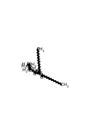 CCCCCCCCCCCCCCCCCC(=O)OCC(COC(=O)NCCOC(C)(C)COC(C)(C)C)OC(=O)CCCCCCCCCCCCCCCCC